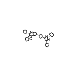 c1ccc(-c2nc(-c3ccccc3)nc(-c3ccc(-c4ccc5nc(-c6ccccc6)c6c7ccccc7oc6c5c4)cc3)n2)cc1